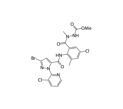 COC(=O)NN(C)C(=O)c1cc(Cl)cc(C)c1NC(=O)c1cc(Br)nn1-c1ncccc1Cl